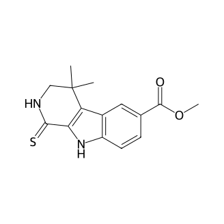 COC(=O)c1ccc2[nH]c3c(c2c1)C(C)(C)CNC3=S